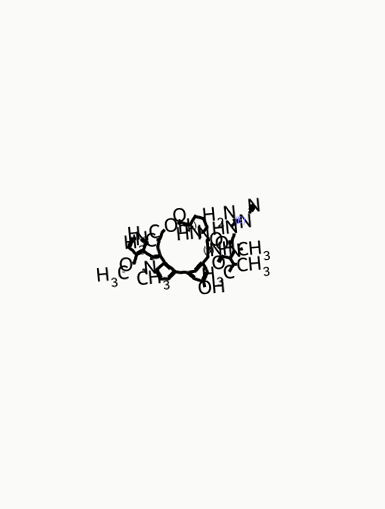 CCn1c(-c2cnccc2COC)c2c3cc(ccc31)-c1cc(O)cc(c1)C[C@H](NC(=O)C(C(C)C)N(C)C(=O)CN/C(N)=N/C#N)C(=O)N1CCC[C@H](N1)C(=O)OCC(C)(C)C2